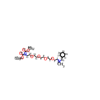 CN(CCOCCOCCOCCOCCN(C(=O)OC(C)(C)C)C(=O)OC(C)(C)C)Cc1ccccc1